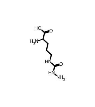 NNC(=O)NCCC[C@@H](N)C(=O)O